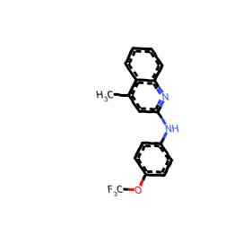 Cc1cc(Nc2ccc(OC(F)(F)F)cc2)nc2ccccc12